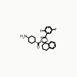 N[C@H]1CC[C@@H](C(=O)N2N=C(c3cc(F)ccc3F)SC23CCCc2ccccc23)CC1